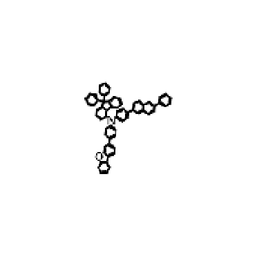 c1ccc(-c2ccc3cc(-c4ccc(N(c5ccc(-c6ccc7c(c6)oc6ccccc67)cc5)c5cccc6c5-c5ccccc5C6(c5ccccc5)c5ccccc5)cc4)ccc3c2)cc1